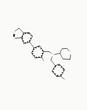 Fc1ccc(CN(Cc2cc(-c3ccc4c(c3)N=NC4)ccc2F)C2CCNCC2)cc1